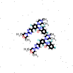 CC1CN(c2cc(F)c(-c3cnc(N4C[C@@H](C)O[C@H](C)C4)nc3)c(F)c2NC(=O)c2ccc(F)cc2C(F)F)CCN1C.CC1CN(c2cc(F)c(-c3cnc(N4C[C@H](C)O[C@@H](C)C4)nc3)c(F)c2NC(=O)c2ccc(F)cc2C(F)F)CCN1C